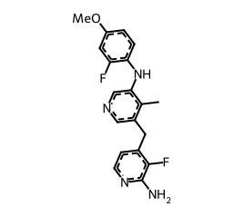 COc1ccc(Nc2cncc(Cc3ccnc(N)c3F)c2C)c(F)c1